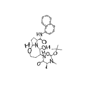 C[C@@H](C(=O)N[C@H]1CCO[C@H]2CC[C@@H](C(=O)Nc3cccc4ccccc34)N2C1O)N(C)C(=O)OC(C)(C)C